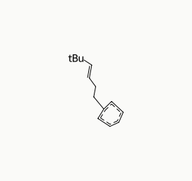 CC(C)(C)C=CCCc1ccccc1